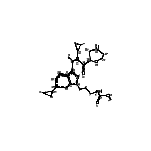 COC(=O)NCCCn1nc([C@@H](C)N(C(=O)[C@H]2CNCCO2)C2CC2)c2ccc(C3CC3)cc21